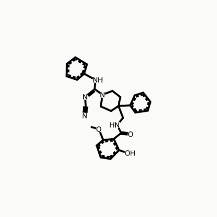 COc1cccc(O)c1C(=O)NCC1(c2ccccc2)CCN(/C(=N\C#N)Nc2ccccc2)CC1